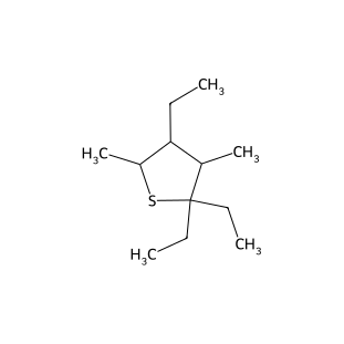 CCC1C(C)SC(CC)(CC)C1C